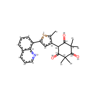 Cc1sc(-c2cccc3cccnc23)cc1C1C(=O)C(C)(C)C(=O)C(C)(C)C1=O